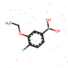 CCOc1cc(B(O)O)ccc1F